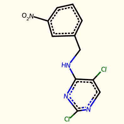 O=[N+]([O-])c1cccc(CNc2nc(Cl)ncc2Cl)c1